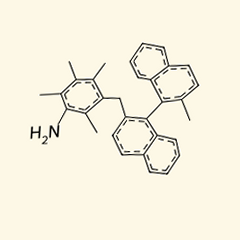 Cc1ccc2ccccc2c1-c1c(Cc2c(C)c(C)c(C)c(N)c2C)ccc2ccccc12